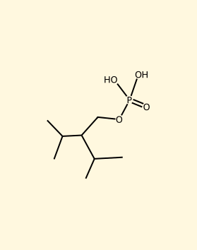 CC(C)C(COP(=O)(O)O)C(C)C